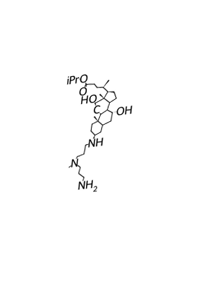 CC(C)OC(=O)CC[C@@H](C)[C@H]1CCC2C3C(C[C@H](O)[C@@]21C)[C@@]1(C)CC[C@H](NCCCN(C)CCCN)CC1C[C@H]3O